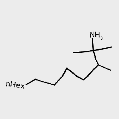 CCCCCCCCCCC(C)C(C)(C)N